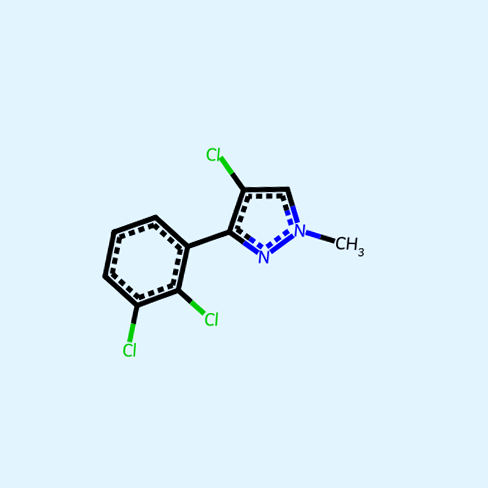 Cn1cc(Cl)c(-c2cccc(Cl)c2Cl)n1